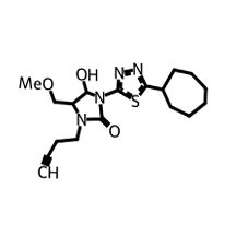 C#CCCN1C(=O)N(c2nnc(C3CCCCCC3)s2)C(O)C1COC